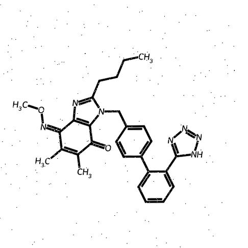 CCCCc1nc2c(n1Cc1ccc(-c3ccccc3-c3nnn[nH]3)cc1)C(=O)C(C)=C(C)C2=NOC